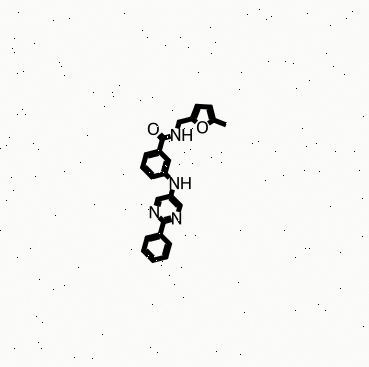 Cc1ccc(CNC(=O)c2cccc(Nc3cnc(-c4ccccc4)nc3)c2)o1